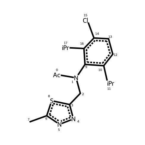 CC(=O)N(Cc1nnc(C)s1)c1c(C(C)C)ccc(Cl)c1C(C)C